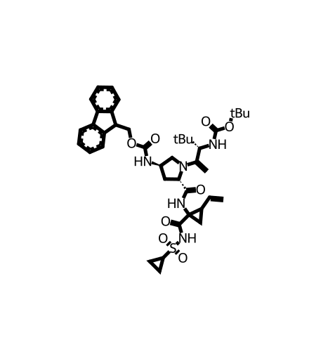 C=CC1CC1(NC(=O)[C@@H]1C[C@@H](NC(=O)OCC2c3ccccc3-c3ccccc32)CN1C(=C)[C@@H](NC(=O)OC(C)(C)C)C(C)(C)C)C(=O)NS(=O)(=O)C1CC1